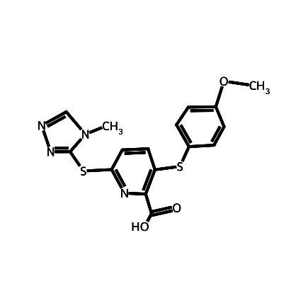 COc1ccc(Sc2ccc(Sc3nncn3C)nc2C(=O)O)cc1